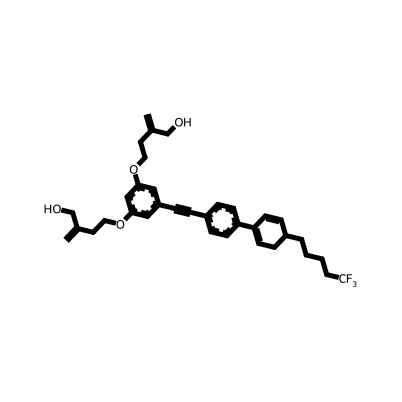 C=C(CO)CCOc1cc(C#Cc2ccc(C3=CCC(CCCCC(F)(F)F)C=C3)cc2)cc(OCCC(=C)CO)c1